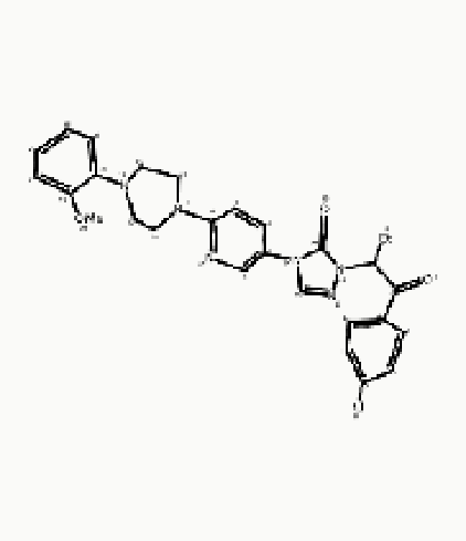 CCC(C(=O)c1ccc(Cl)cc1)n1ncn(-c2ccc(N3CCN(c4ccccc4OC)CC3)nc2)c1=O